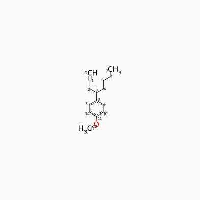 C#CCC(CCCC)c1ccc(OC)cc1